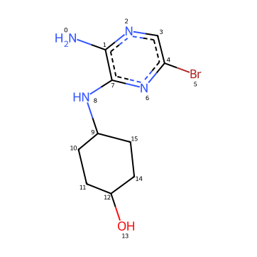 Nc1ncc(Br)nc1NC1CCC(O)CC1